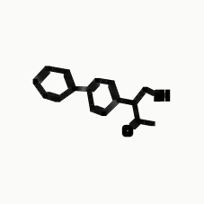 CC(=O)C(CS)c1ccc(-c2ccccc2)cc1